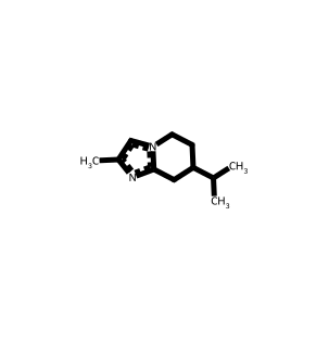 Cc1cn2c(n1)CC(C(C)C)CC2